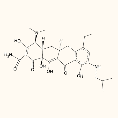 CCc1cc(NCC(C)C)c(O)c2c1C[C@@H]1C[C@H]3[C@H](N(C)C)C(O)=C(C(N)=O)C(=O)[C@@]3(O)C(O)=C1C2=O